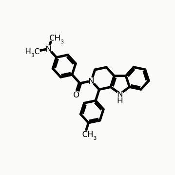 Cc1ccc(C2c3[nH]c4ccccc4c3CCN2C(=O)c2ccc(N(C)C)cc2)cc1